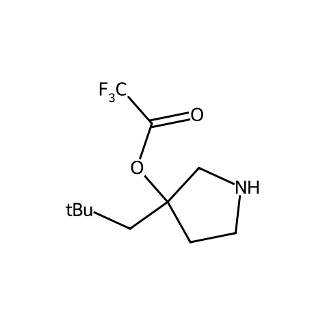 CC(C)(C)CC1(OC(=O)C(F)(F)F)CCNC1